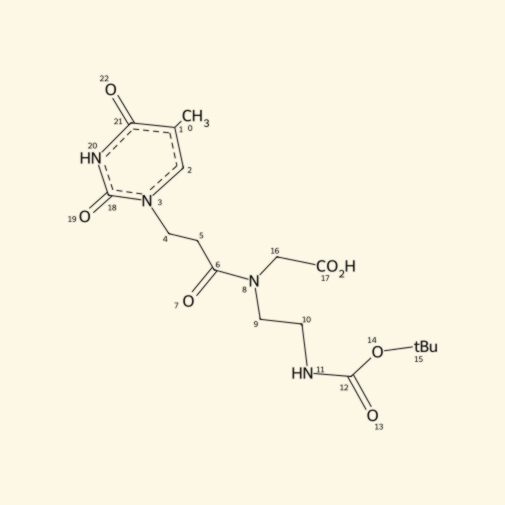 Cc1cn(CCC(=O)N(CCNC(=O)OC(C)(C)C)CC(=O)O)c(=O)[nH]c1=O